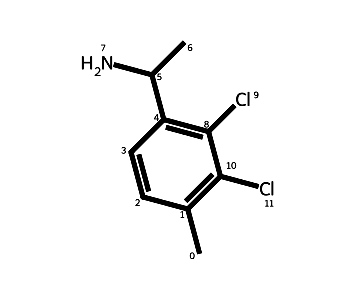 Cc1ccc(C(C)N)c(Cl)c1Cl